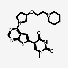 O=c1[nH]cc(-c2cc3c(N4CCC(OCCN5CCCCC5)C4)ncnc3s2)c(=O)[nH]1